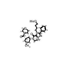 COCCCCn1c(C(=O)N(CC(C)C)[C@H]2C[C@@H](C(=O)N3CCOCC3)CN(C)C2)nnc1-c1ccccc1